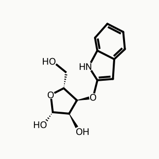 OC[C@H]1O[C@@H](O)[C@H](O)[C@@H]1Oc1cc2ccccc2[nH]1